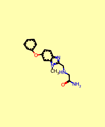 Cn1c(CNCC(N)=O)nc2ccc(Oc3ccccc3)cc21